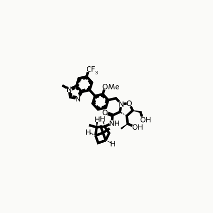 COc1c(CN2O[C@@H](CO)[C@H]([C@H](C)O)C2C(=O)N[C@H]2C[C@H]3C[C@@H]([C@@H]2C)C3(C)C)cccc1-c1cc(C(F)(F)F)cc2c1ncn2C